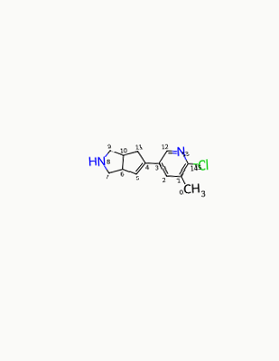 Cc1cc(C2=CC3CNCC3C2)cnc1Cl